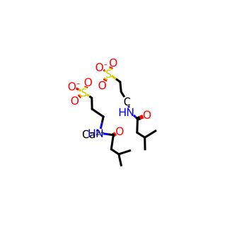 CC(C)CC(=O)NCCCS(=O)(=O)[O-].CC(C)CC(=O)NCCCS(=O)(=O)[O-].[Ca+2]